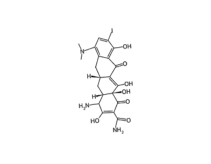 CN(C)c1cc(I)c(O)c2c1C[C@H]1C[C@H]3C(N)C(O)=C(C(N)=O)C(=O)[C@@]3(O)C(O)=C1C2=O